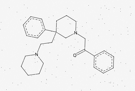 O=C(CN1CCCC(CCN2CCCCC2)(c2ccccc2)C1)c1ccccc1